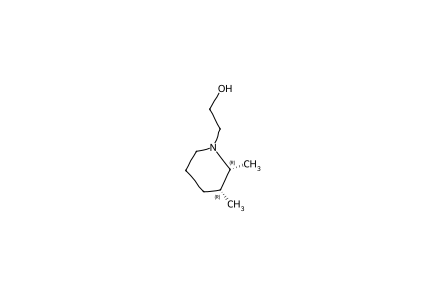 C[C@@H]1CCCN(CCO)[C@@H]1C